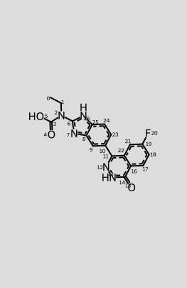 CCN(C(=O)O)c1nc2cc(-c3n[nH]c(=O)c4ccc(F)cc34)ccc2[nH]1